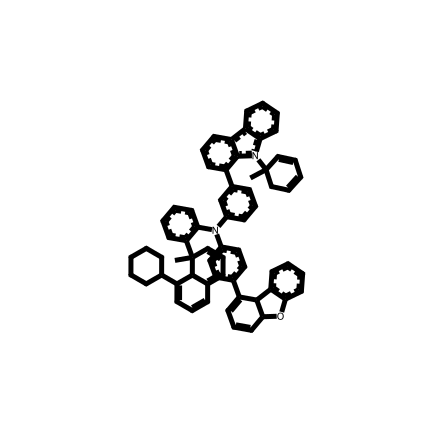 CC1(c2ccccc2N(c2ccc(C3=CC=CC4Oc5ccccc5C34)cc2)c2cccc(-c3cccc4c5ccccc5n(C5(C)C=CC=CC5)c34)c2)C=CC=C2C=CC=C(C3CCCCC3)C21